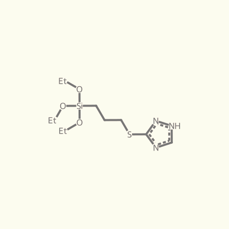 CCO[Si](CCCSc1nc[nH]n1)(OCC)OCC